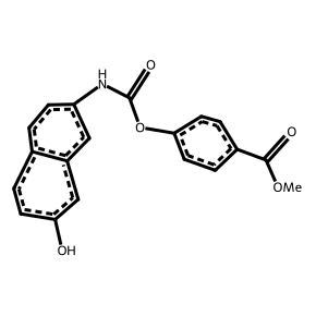 COC(=O)c1ccc(OC(=O)Nc2ccc3ccc(O)cc3c2)cc1